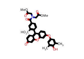 COC(=O)CN(CC(=O)OC)C(=O)c1ccc(-c2c3ccc(=O)cc-3oc3cc(Oc4cc(C)c(O)c(C)c4)ccc23)c(C(=O)O)c1